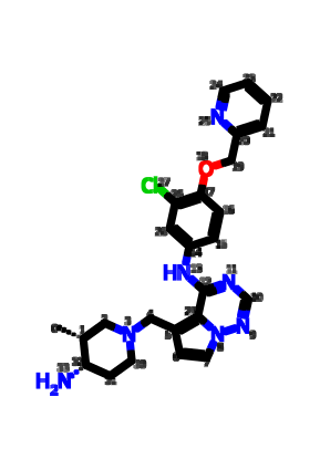 C[C@@H]1CN(Cc2ccn3ncnc(Nc4ccc(OCc5ccccn5)c(Cl)c4)c23)CC[C@@H]1N